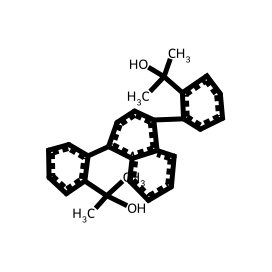 CC(C)(O)c1ccccc1-c1ccc(-c2ccccc2C(C)(C)O)c2ccccc12